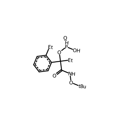 CCc1ccccc1C(CC)(O[PH](=O)O)C(=O)NOC(C)(C)C